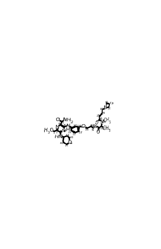 CCc1nc(C(N)=O)c(Nc2cccc(OCCCNC(=O)C(C)N(C)C(=O)/C=C/CN3CCC3)c2)nc1NC1CCOCC1